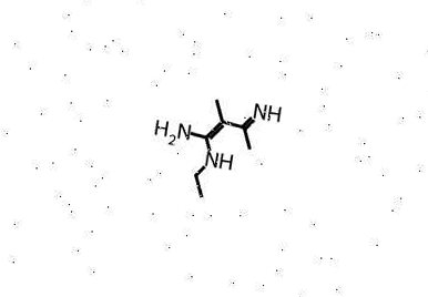 CCN/C(N)=C(/C)C(C)=N